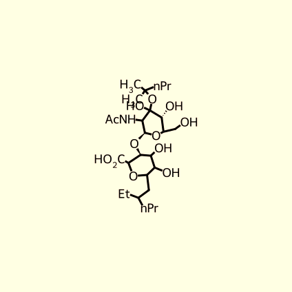 CCCC(CC)CC1OC(C(=O)O)[C@@H](O[C@@H]2OC(CO)[C@@H](O)C(O)(OC(C)(C)CCC)C2NC(C)=O)C(O)C1O